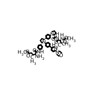 COC(=O)CC(C)[C@H](N)C(=O)Nc1ccc([C@@H]2CC[C@@H](c3ccc(N4CCC[C@H]4C(=O)NC(=O)[C@@H](NC(=O)OC)C(C)C)cc3)N2c2ccc(-c3ccc(N4CCOCC4)nc3)cc2)cc1